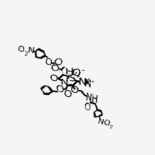 CC(OC(=O)OCc1ccc([N+](=O)[O-])cc1)[C@H]1C(=O)N2C(C(=O)OCc3ccccc3)=C(OCCNC(=O)Cc3ccc([N+](=O)[O-])cc3)C(=[N+]=[N-])[S@+]([O-])[C@@H]12